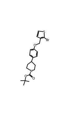 CC(C)(C)OC(=O)N1CCC(c2ccc(OCc3ccsc3Br)cc2)CC1